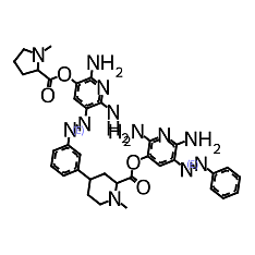 CN1CCCC1C(=O)Oc1cc(/N=N/c2cccc(C3CCN(C)C(C(=O)Oc4cc(/N=N/c5ccccc5)c(N)nc4N)C3)c2)c(N)nc1N